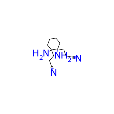 N#CCCC1(N)CCCCC1(N)CCC#N